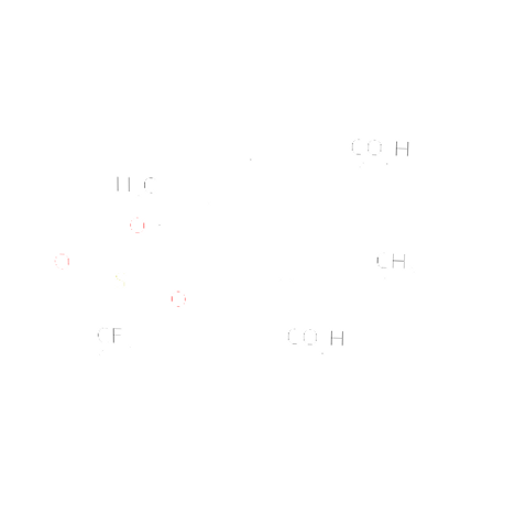 Cc1cc(C(=O)O)c(C)c(C(=O)O)c1OS(=O)(=O)C(F)(F)F